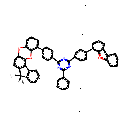 CC1(C)c2ccccc2-c2c1ccc1c2Oc2c(cccc2-c2ccc(-c3nc(-c4ccccc4)nc(-c4ccc(-c5cccc6c5oc5ccccc56)cc4)n3)cc2)O1